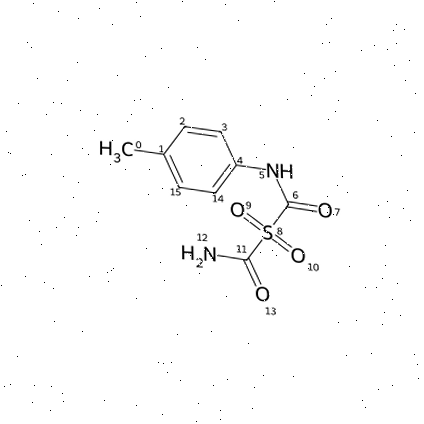 Cc1ccc(NC(=O)S(=O)(=O)C(N)=O)cc1